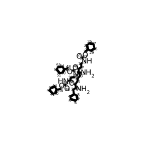 NC(Cc1ccccc1)C(=O)CCCC(N)(CCCNC(=O)OCc1ccccc1)N(CCCNC(=O)OCc1ccccc1)C(=O)OCc1ccccc1